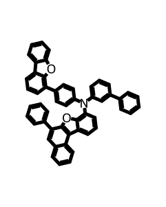 c1ccc(-c2cccc(N(c3ccc(-c4cccc5c4oc4ccccc45)cc3)c3cccc4c3oc3c(-c5ccccc5)cc5ccccc5c34)c2)cc1